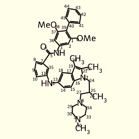 COc1cc(NC(=O)c2cccc(Nc3ccc4c(c3)c(C)c(C)n4CC(C)CN3CCN(C)CC3)c2)cc(OC)c1-c1ccccc1